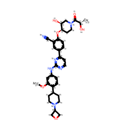 COc1cc(Nc2nccc(-c3ccc(O[C@@H]4CCN(C(=O)[C@H](C)O)C[C@@H]4O)c(C#N)c3)n2)ccc1C1CCN(C2COC2)CC1